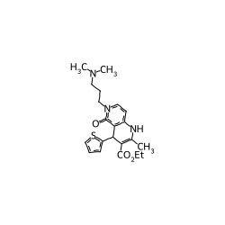 CCOC(=O)C1=C(C)Nc2ccn(CCCN(C)C)c(=O)c2C1c1cccs1